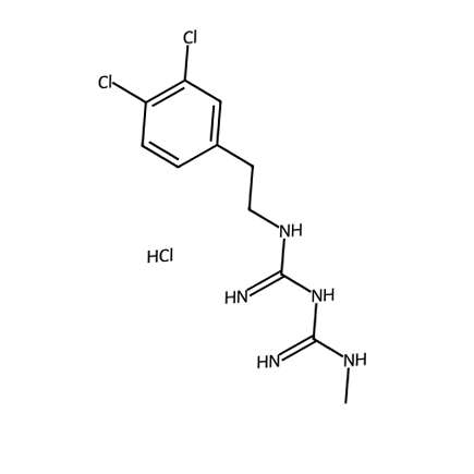 CNC(=N)NC(=N)NCCc1ccc(Cl)c(Cl)c1.Cl